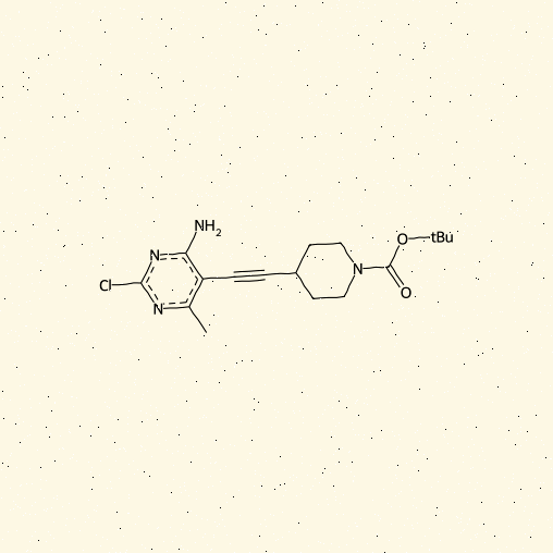 Cc1nc(Cl)nc(N)c1C#CC1CCN(C(=O)OC(C)(C)C)CC1